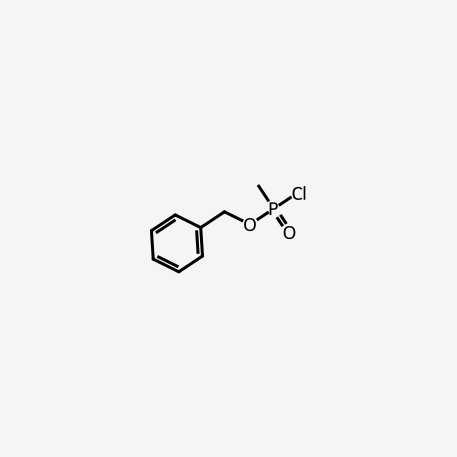 CP(=O)(Cl)OCc1ccccc1